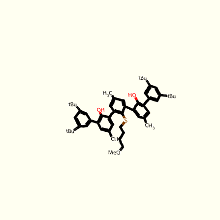 COCCCCSc1c(-c2cc(C)cc(-c3cc(C(C)(C)C)cc(C(C)(C)C)c3)c2O)cc(C)cc1-c1cc(C)cc(-c2cc(C(C)(C)C)cc(C(C)(C)C)c2)c1O